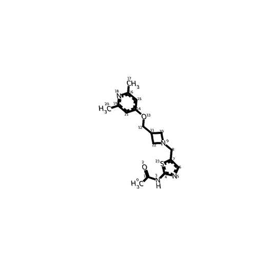 CC(=O)Nc1ncc(CN2CC(COc3cc(C)nc(C)c3)C2)s1